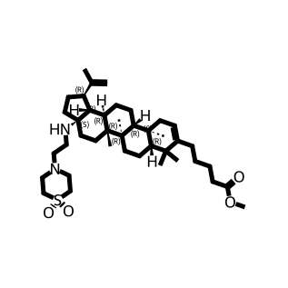 C=C(C)[C@@H]1CC[C@]2(NCCN3CCS(=O)(=O)CC3)CC[C@]3(C)[C@H](CC[C@@H]4[C@@]5(C)CC=C(CCCCC(=O)OC)C(C)(C)[C@@H]5CC[C@]43C)[C@@H]12